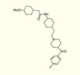 COC1CCC(CC(=O)NC2CCC(CCN3CCC(C(=O)c4ccc(F)cc4)CC3)CC2)CC1